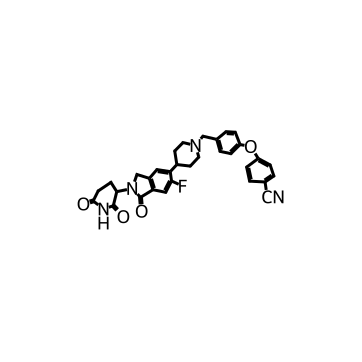 N#Cc1ccc(Oc2ccc(CN3CCC(c4cc5c(cc4F)C(=O)N(C4CCC(=O)NC4=O)C5)CC3)cc2)cc1